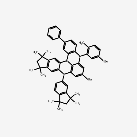 Cc1ccc(C(C)(C)C)cc1N1c2ccc(-c3ccccc3)cc2B2c3cc4c(cc3N(c3ccc5c(c3)C(C)(C)CC5(C)C)c3cc(C(C)(C)C)cc1c32)C(C)(C)CC4(C)C